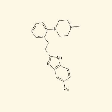 CN1CCN(c2ccccc2CSc2nc3cc(C(F)(F)F)ccc3[nH]2)CC1